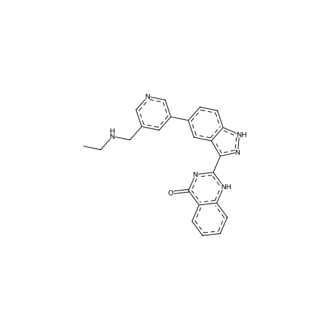 CCNCc1cncc(-c2ccc3[nH]nc(-c4nc(=O)c5ccccc5[nH]4)c3c2)c1